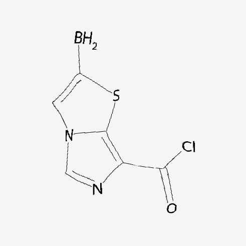 Bc1cn2cnc(C(=O)Cl)c2s1